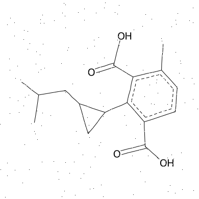 Cc1ccc(C(=O)O)c(C2CC2CC(C)C)c1C(=O)O